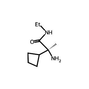 CCNC(=O)[C@@](C)(N)C1CCC1